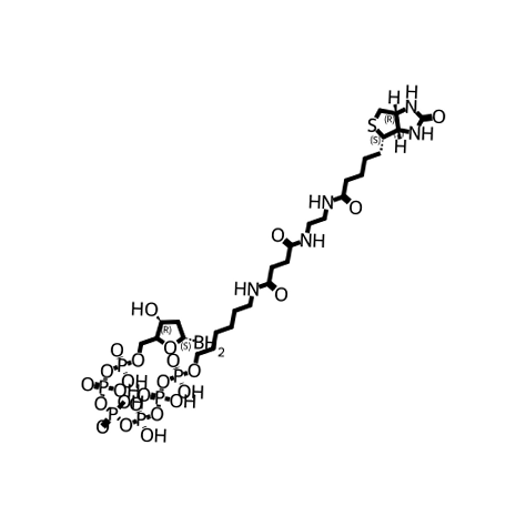 B[C@H]1C[C@@H](O)C(COP(=O)(O)OP(=O)(O)OP(=O)(O)OP(=O)(O)OP(=O)(O)OP(=O)(O)OCCCCCCNC(=O)CCC(=O)NCCNC(=O)CCCC[C@@H]2SC[C@@H]3NC(=O)N[C@@H]32)O1